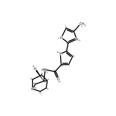 Cc1coc(-c2ccc(C(=O)N[C@H]3CN4CCC3CC4)s2)n1